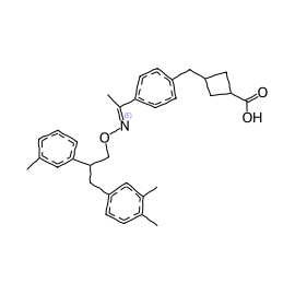 C/C(=N\OCC(Cc1ccc(C)c(C)c1)c1cccc(C)c1)c1ccc(CC2CC(C(=O)O)C2)cc1